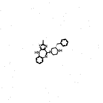 Cc1nc2c(s1)Nc1ccccc1N=C2N1CCN[C@@H](Cc2ccccc2)C1